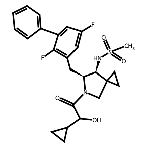 CS(=O)(=O)N[C@@H]1[C@H](Cc2cc(F)cc(-c3ccccc3)c2F)N(C(=O)C(O)C2CC2)CC12CC2